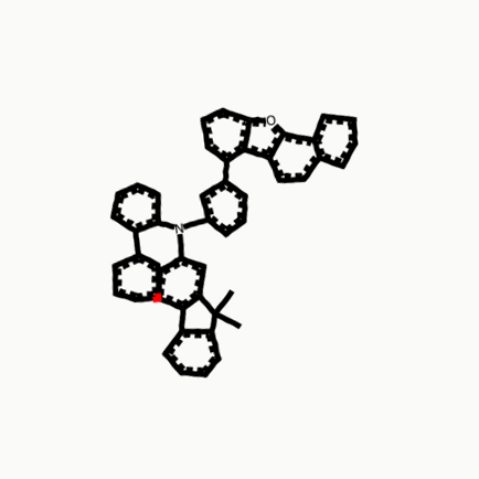 CC1(C)c2ccccc2-c2ccc(N(c3cccc(-c4cccc5oc6c7ccccc7ccc6c45)c3)c3ccccc3-c3ccccc3)cc21